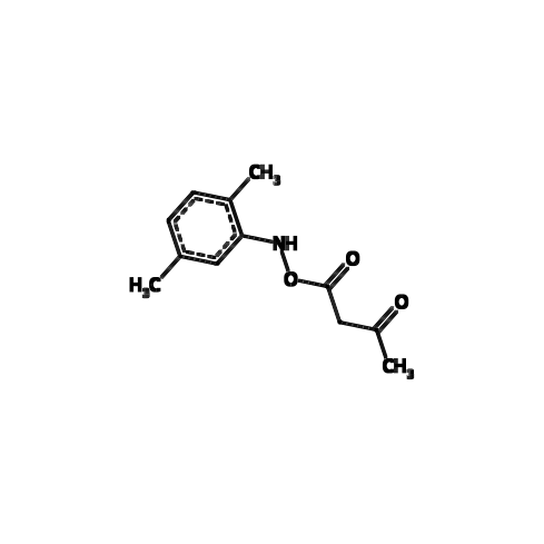 CC(=O)CC(=O)ONc1cc(C)ccc1C